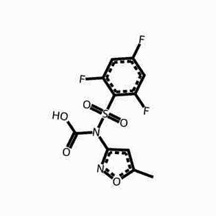 Cc1cc(N(C(=O)O)S(=O)(=O)c2c(F)cc(F)cc2F)no1